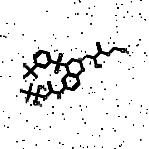 CCOC(=O)C(O)C[C@H]1CN(S(=O)(=O)c2cccc(C(F)(F)F)c2)c2cc(NC(=O)OC(C)(C)C(F)(F)F)ccc2O1